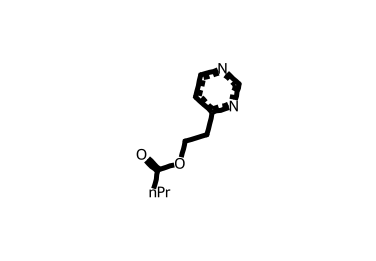 CCCC(=O)OCCc1ccncn1